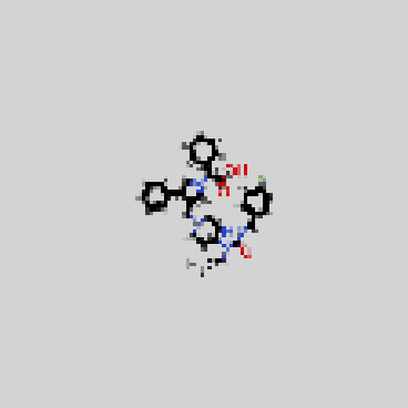 CCN(C(=O)NCc1ccc(F)cc1)C1CCN(CC2CN(C(C(=O)O)C3CCCCC3)CC2c2ccccc2)CC1